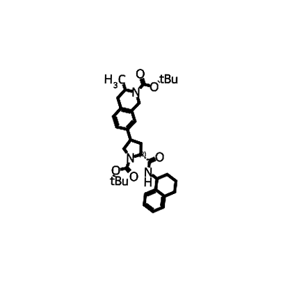 CC1Cc2ccc(C3C[C@H](C(=O)NC4CCCc5ccccc54)N(C(=O)OC(C)(C)C)C3)cc2CN1C(=O)OC(C)(C)C